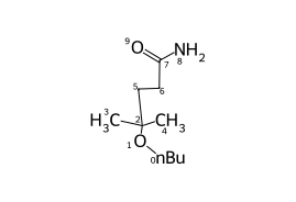 CCCCOC(C)(C)CCC(N)=O